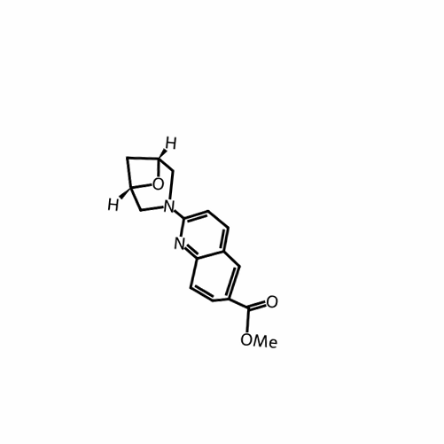 COC(=O)c1ccc2nc(N3C[C@H]4C[C@@H](C3)O4)ccc2c1